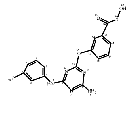 Nc1nc(Nc2cccc(F)c2)nc(Oc2cccc(C(=O)NO)c2)n1